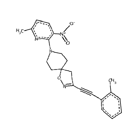 Cc1ccc([N+](=O)[O-])c(N2CCC3(CC2)CC(C#Cc2ccccc2C)=NO3)n1